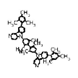 Cc1cc(C)c(-c2ccc3c(c2)c2cnccc2n3-c2cc(C)c(-c3c(C)cc(-n4c5ccncc5c5cc(-c6c(C)cc(C)cc6C)ccc54)cc3C)c(C)c2)c(C)c1